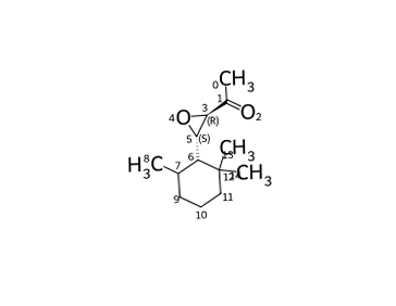 CC(=O)[C@@H]1O[C@H]1C1C(C)CCCC1(C)C